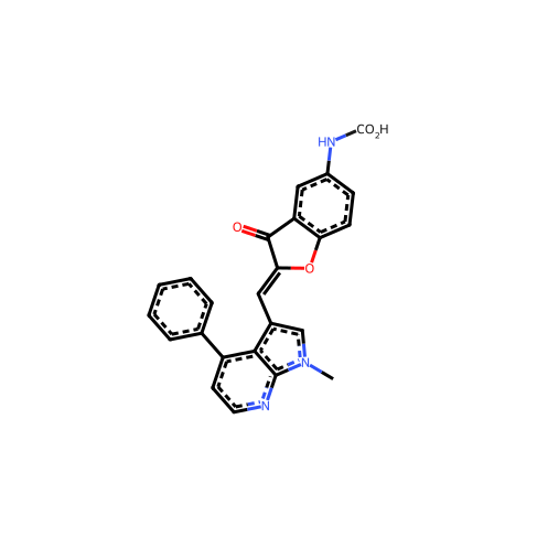 Cn1cc(/C=C2\Oc3ccc(NC(=O)O)cc3C2=O)c2c(-c3ccccc3)ccnc21